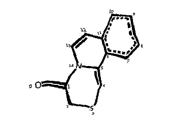 O=C1CSC=C2c3ccccc3C=CN12